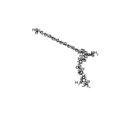 CCCN(OCC)C(=O)C1=Cc2ccc(-c3cnc(CNC(=O)OCc4ccc(NC(=O)[C@H](CCCNC(N)=O)NC(=O)[C@@H](NC(=O)CCOCCOCCOCCOCCOCCOCCOCCOCCOCCOCCC(=O)O)C(C)C)cc4)nc3)cc2N=C(N)C1